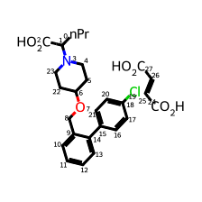 CCCC(C(=O)O)N1CCC(OCc2ccccc2-c2ccc(Cl)cc2)CC1.O=C(O)C=CC(=O)O